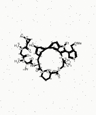 CCn1c(-c2cnccc2COC)c2c3cc(ccc31)-c1cc(O)cc(c1)C[C@H](NC(=O)[C@H](C(C)C)N(C)C(=O)CN(C)C(=O)C1CN1C(C)=O)C(=O)N1CCC[C@H](N1)C(=O)OCC(C)(C)C2